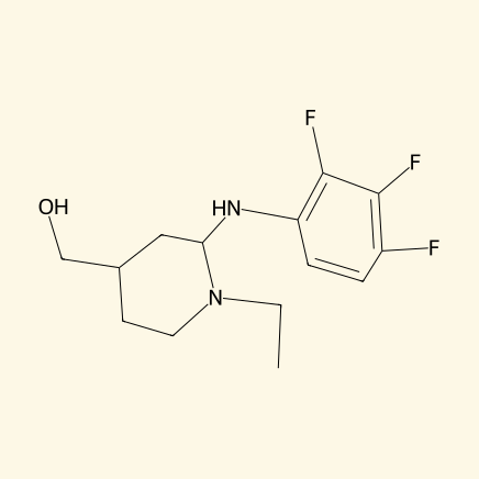 CCN1CCC(CO)CC1Nc1ccc(F)c(F)c1F